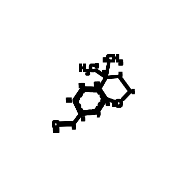 CC1(C)CCOc2cc(C=O)ccc21